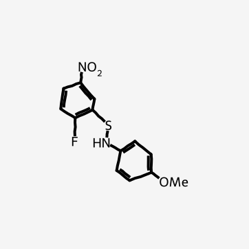 COc1ccc(NSc2cc([N+](=O)[O-])ccc2F)cc1